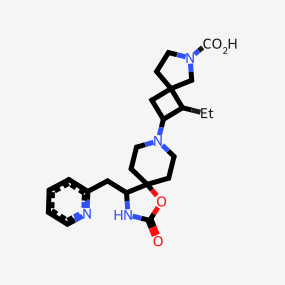 CCC1C(N2CCC3(CC2)OC(=O)NC3Cc2ccccn2)CC12CCN(C(=O)O)C2